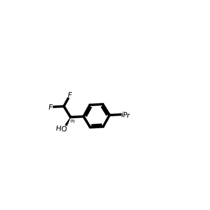 CC(C)c1ccc([C@@H](O)C(F)F)cc1